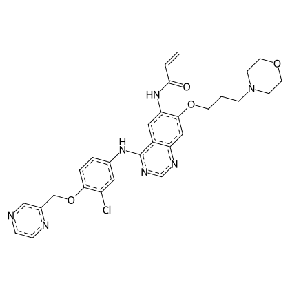 C=CC(=O)Nc1cc2c(Nc3ccc(OCc4cnccn4)c(Cl)c3)ncnc2cc1OCCCN1CCOCC1